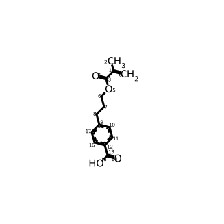 C=C(C)C(=O)OCCCc1ccc(C(=O)O)cc1